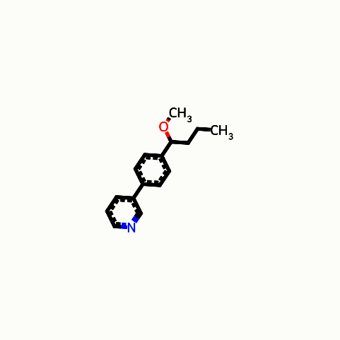 CCCC(OC)c1ccc(-c2cccnc2)cc1